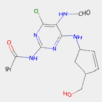 CC(C)C(=O)Nc1nc(Cl)c(NC=O)c(NC2C=CC(CO)C2)n1